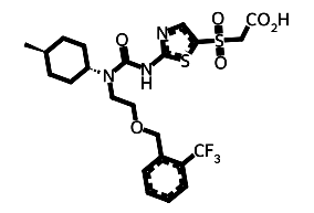 C[C@H]1CC[C@H](N(CCOCc2ccccc2C(F)(F)F)C(=O)Nc2ncc(S(=O)(=O)CC(=O)O)s2)CC1